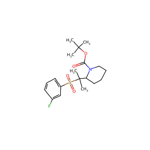 CC(C)(C)OC(=O)N1CCCCC1C(C)(C)S(=O)(=O)c1cccc(F)c1